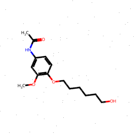 COc1cc(NC(C)=O)ccc1OCCCCCCO